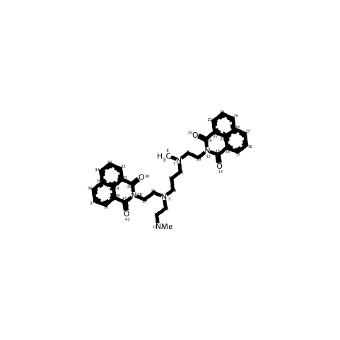 CNCCN(CCCN(C)CCN1C(=O)c2cccc3cccc(c23)C1=O)CCN1C(=O)c2cccc3cccc(c23)C1=O